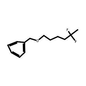 CC(F)(F)CCCCOCc1ccccc1